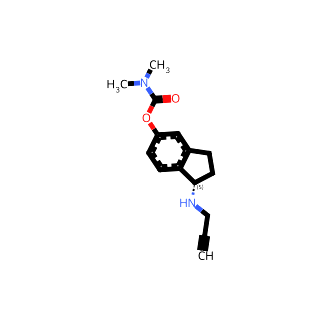 C#CCN[C@H]1CCc2cc(OC(=O)N(C)C)ccc21